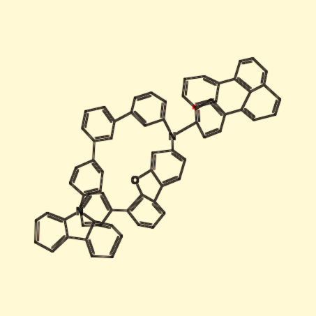 c1ccc(-c2cccc3c2oc2cc(N(c4ccc(-c5cccc6cccc(-c7ccccc7)c56)cc4)c4cccc(-c5cccc(-c6ccc(-n7c8ccccc8c8ccccc87)cc6)c5)c4)ccc23)cc1